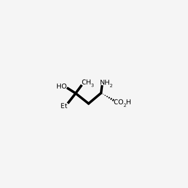 CCC(C)(O)C[C@H](N)C(=O)O